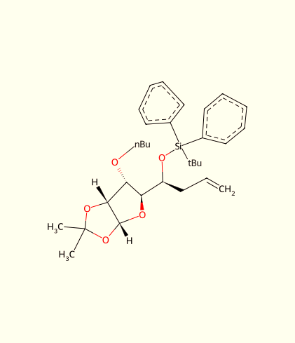 C=CC[C@H](O[Si](c1ccccc1)(c1ccccc1)C(C)(C)C)[C@H]1O[C@@H]2OC(C)(C)O[C@@H]2[C@@H]1OCCCC